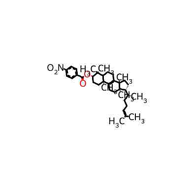 CC(C)=CCC[C@@H](C)[C@H]1CC[C@@]2(C)C3=C(CC[C@]12C)[C@@]1(C)CC[C@H](OC(=O)c2ccc([N+](=O)[O-])cc2)C(C)(C)C1CC3